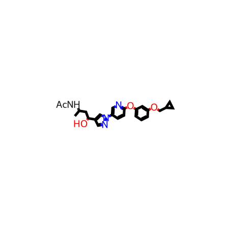 CC(=O)NC(C)CC(O)c1cnn(-c2ccc(Oc3cccc(OCC4CC4)c3)nc2)c1